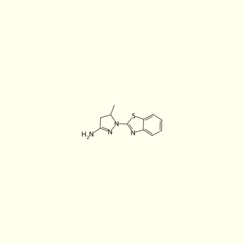 CC1CC(N)=NN1c1nc2ccccc2s1